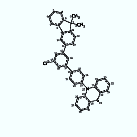 CC1(C)c2ccccc2-c2cc(-c3cc(Cl)cc(-c4ccc(N5c6ccccc6Sc6ccccc65)cc4)c3)ccc21